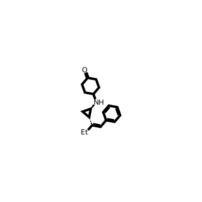 CCC(=Cc1ccccc1)[C@@H]1C[C@H]1NC1CCC(=O)CC1